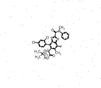 Cc1c([C@H](OC(C)(C)C)C(=O)O)c(-c2ccc(Cl)cc2Cl)c2sc(C(=O)N(C)c3ccccc3)nc2c1F